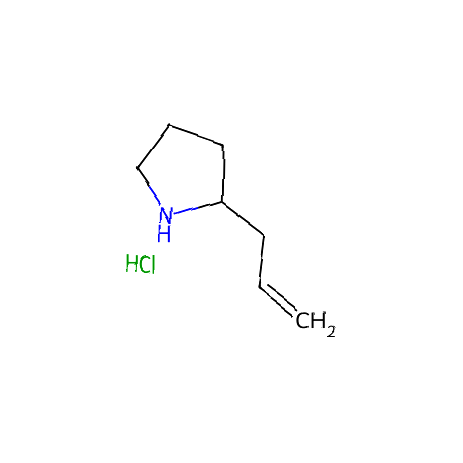 C=CCC1CCCN1.Cl